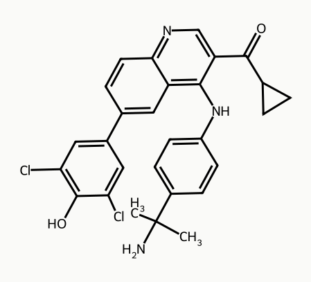 CC(C)(N)c1ccc(Nc2c(C(=O)C3CC3)cnc3ccc(-c4cc(Cl)c(O)c(Cl)c4)cc23)cc1